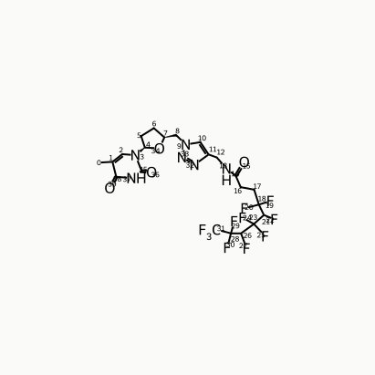 Cc1cn([C@H]2CC[C@@H](Cn3cc(CNC(=O)CCC(F)(F)C(F)C(F)(F)C(F)C(F)(F)C(F)(F)F)nn3)O2)c(=O)[nH]c1=O